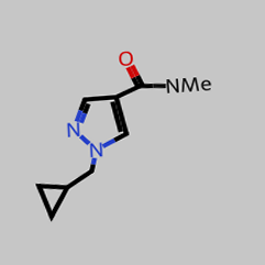 CNC(=O)c1cnn(CC2CC2)c1